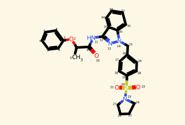 CC(Oc1ccccc1)C(=O)Nc1nn(Cc2ccc(S(=O)(=O)N3CCCC3)cc2)c2ccccc12